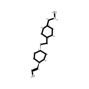 CC/C=C/[C@H]1CC[C@H](CCC2CCC(COCC)CC2)CC1